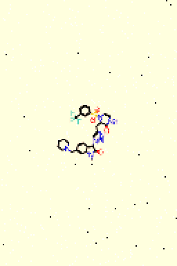 CN1C(=O)C(n2cc(CC3C(=O)NC=CN3S(=O)(=O)c3cccc(C(F)(F)F)c3)nn2)=C2C=CC(CN3CCCCC3)=CC21